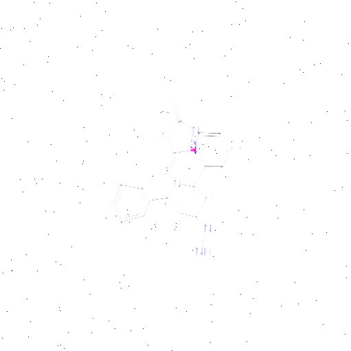 NN=c1cc(-c2ccccc2)n(C=C2N=NC(=S)O2)c(-c2ccccc2)c1